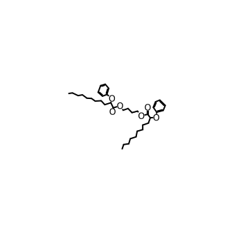 CCCCCCCCCC(Oc1ccccc1)C(=O)OCCCCOC(=O)C(CCCCCCCCC)Oc1ccccc1